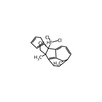 CCC1(C)C2=C3C(=CC=CC(CC2)C3C)[C]1(C1=CC=CC1)[Hf]([Cl])[Cl]